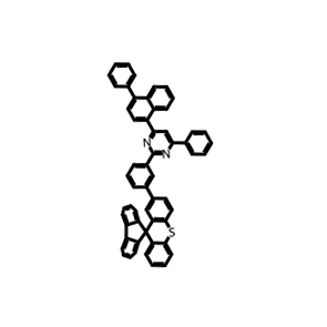 c1ccc(-c2cc(-c3ccc(-c4ccccc4)c4ccccc34)nc(-c3cccc(-c4ccc5c(c4)C4(c6ccccc6S5)c5ccccc5-c5ccccc54)c3)n2)cc1